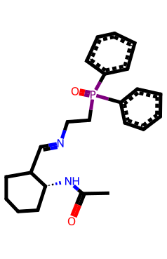 CC(=O)N[C@@H]1CCCCC1/C=N/CCP(=O)(c1ccccc1)c1ccccc1